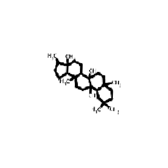 CC1CCC2C1(C)CCC1C2(C)CCC2(C)C3CC(C)(C)CCC3(C)CCC12C